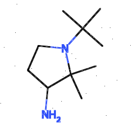 CC(C)(C)N1CCC(N)C1(C)C